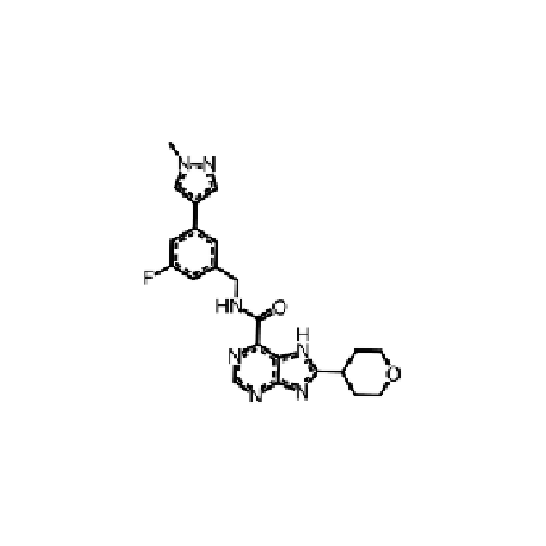 Cn1cc(-c2cc(F)cc(CNC(=O)c3ncnc4nc(C5CCOCC5)[nH]c34)c2)cn1